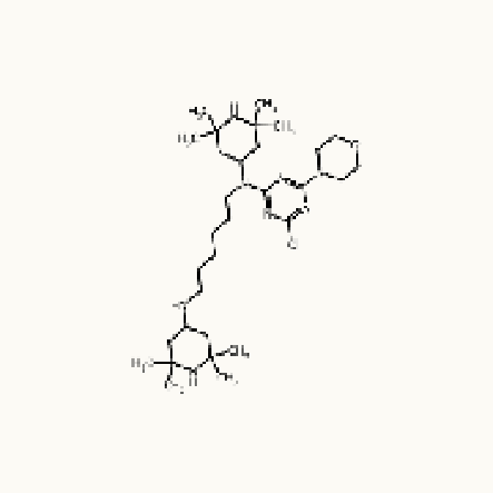 CC1(C)CC(NCCCCCCN(c2nc(Cl)nc(N3CCOCC3)n2)C2CC(C)(C)NC(C)(C)C2)CC(C)(C)N1